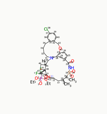 CCOP(=O)(OCC)C(F)(F)[C@]1(O)/C=C/C[C@H](C)[C@@H](C)S(=O)(=O)NC(=O)c2ccc3c(c2)N(CCCCc2cc(Cl)ccc2CO3)C[C@@H]2CC[C@H]21